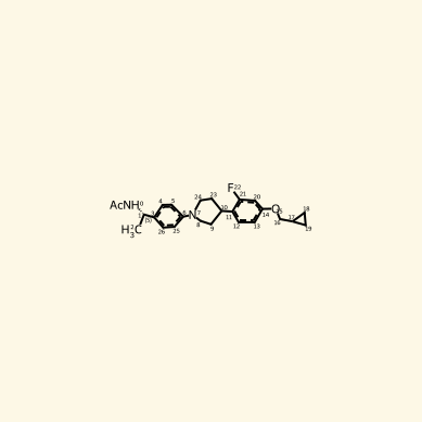 CC(=O)N[C@@H](C)c1ccc(N2CCC(c3ccc(OCC4CC4)cc3F)CC2)cc1